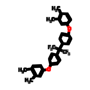 Cc1ccc(OC2=CCC(C(c3ccc(Oc4ccc(C)c(C)c4)cc3)(C(F)(F)F)C(F)(F)F)C=C2)cc1C